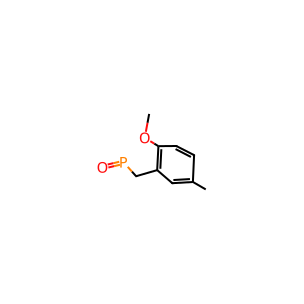 COc1ccc(C)cc1CP=O